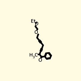 CCOCCOCCC#CCC#CC(C)C(=O)c1ccccc1